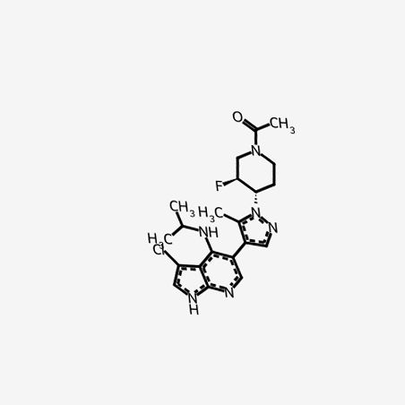 CC(=O)N1CC[C@H](n2ncc(-c3cnc4[nH]cc(Cl)c4c3NC(C)C)c2C)[C@@H](F)C1